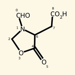 O=CN1COC(=O)C1CC(=O)O